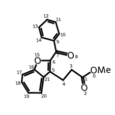 COC(=O)CCc1c(C(=O)c2ccccc2)oc2ccccc12